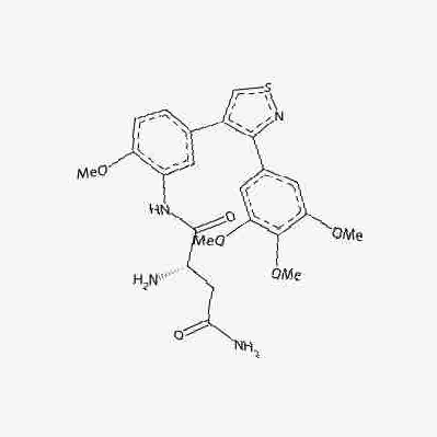 COc1ccc(-c2csnc2-c2cc(OC)c(OC)c(OC)c2)cc1NC(=O)[C@@H](N)CC(N)=O